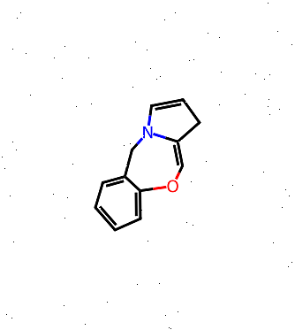 C1=CN2Cc3ccccc3OC=C2C1